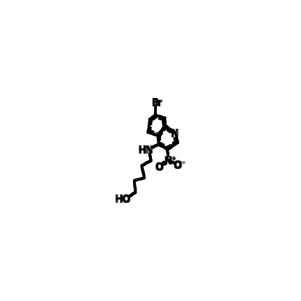 O=[N+]([O-])c1cnc2cc(Br)ccc2c1NCCCCCO